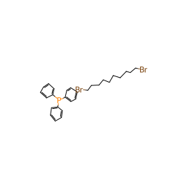 BrCCCCCCCCCCBr.c1ccc(P(c2ccccc2)c2ccccc2)cc1